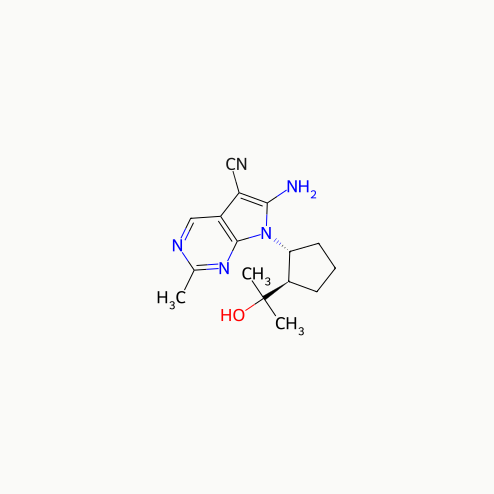 Cc1ncc2c(C#N)c(N)n([C@@H]3CCC[C@H]3C(C)(C)O)c2n1